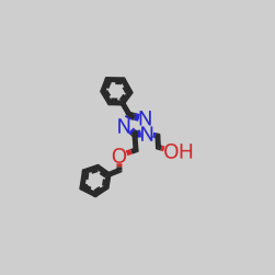 OCCn1nc(-c2ccccc2)nc1COCc1ccccc1